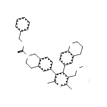 CCOC(=O)[C@@H](OC(C)(C)C)c1c(C)nc(C)c(-c2ccc3c(c2)CCN(C(=O)OCc2ccccc2)C3)c1-c1ccc2c(c1)CCCO2